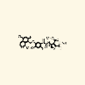 COC(=O)c1scc(NC(=O)Nc2cc(OCc3c(F)cc(Cl)c4ccncc34)c(OC)cc2F)c1C(=O)OC